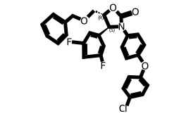 O=C1O[C@@H](COCc2ccccc2)[C@H](c2cc(F)cc(F)c2)N1c1ccc(Oc2ccc(Cl)cc2)cc1